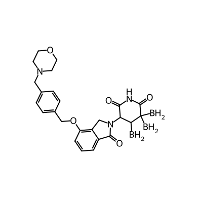 BC1C(N2Cc3c(OCc4ccc(CN5CCOCC5)cc4)cccc3C2=O)C(=O)NC(=O)C1(B)B